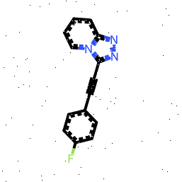 Fc1ccc(C#Cc2nnc3ccccn23)cc1